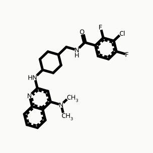 CN(C)c1cc(NC2CCC(CNC(=O)c3ccc(F)c(Cl)c3F)CC2)nc2ccccc12